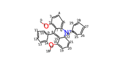 COc1cccc2c1c(-c1ccccc1)c1c(OC)cccc1[n+]2-c1ccccc1